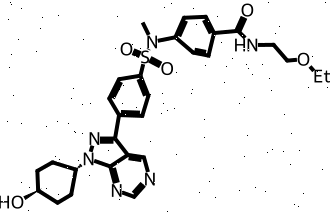 CCOCCNC(=O)c1ccc(N(C)S(=O)(=O)c2ccc(-c3nn([C@H]4CC[C@H](O)CC4)c4ncncc34)cc2)cc1